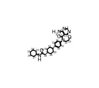 Nc1ncnc2c1C(=O)N(c1ccc([C@H]3CC[C@H](CC(=O)NC4CCCCC4)CC3)cc1)CCO2